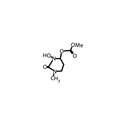 COC(=O)OC1CCN(C)C(=O)N1O